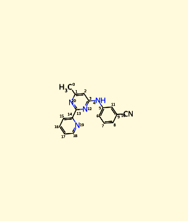 Cc1cc(Nc2cccc(C#N)c2)nc(-c2ccccn2)n1